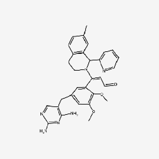 COc1cc(Cc2cnc(N)nc2N)cc(C(=CC=O)N2CCc3ccc(C)cc3C2c2ccccn2)c1OC